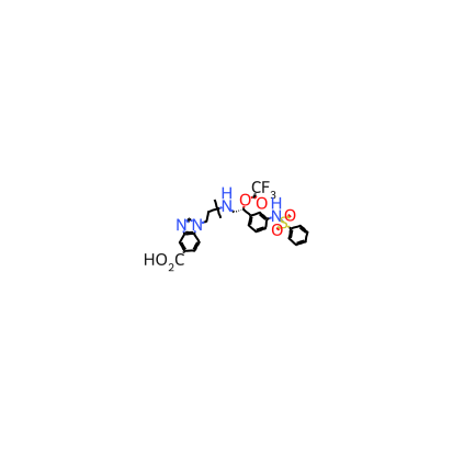 CC(C)(CCn1cnc2cc(C(=O)O)ccc21)NC[C@H](OC(=O)C(F)(F)F)c1cccc(NS(=O)(=O)c2ccccc2)c1